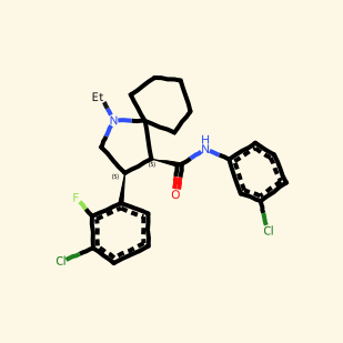 CCN1C[C@H](c2cccc(Cl)c2F)[C@H](C(=O)Nc2cccc(Cl)c2)C12CCCCC2